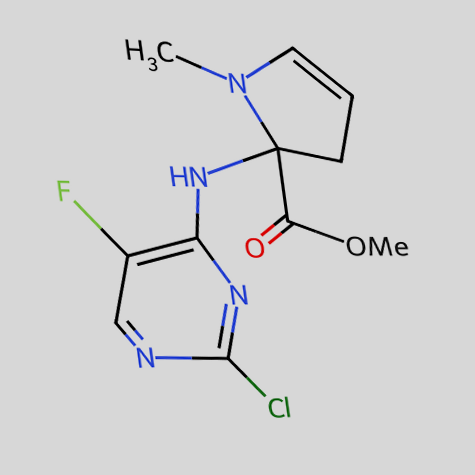 COC(=O)C1(Nc2nc(Cl)ncc2F)CC=CN1C